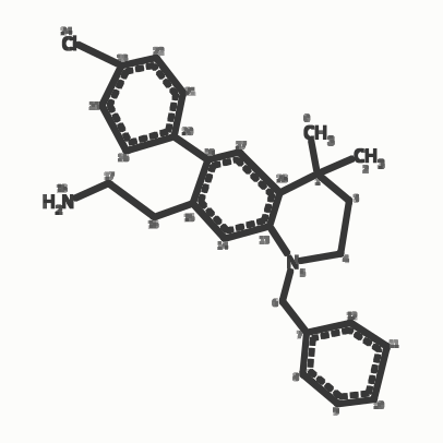 CC1(C)CCN(Cc2ccccc2)c2cc(CCN)c(-c3ccc(Cl)cc3)cc21